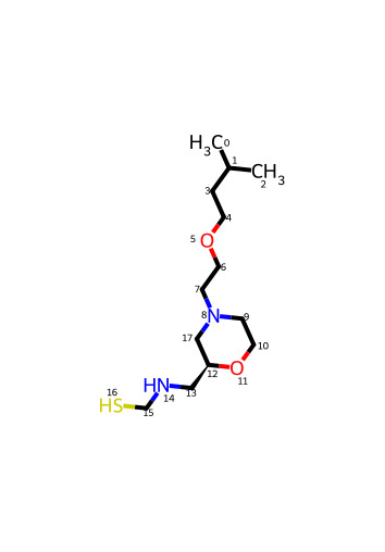 CC(C)CCOCCN1CCO[C@@H](CNCS)C1